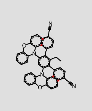 CCc1c(-c2ccc(C#N)cc2)c(N2c3ccccc3Oc3ccccc32)cc(N2c3ccccc3Oc3ccccc32)c1-c1ccc(C#N)cc1